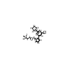 C[Si](C)(C)CCOCn1cccc1-c1cc(Cl)nc(N2CCCC2)n1